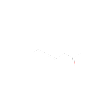 CCC(=O)CC=C=C(C)CC